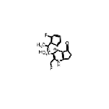 CC(F)c1c(F)cccc1[C@H]1C(C(=O)O)=C(CF)NC2=C1C(=O)CC2